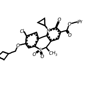 CC(C)OC(=O)c1cc2c(n(C3CC3)c1=O)-c1cc(Cl)c(OCC3CCC3)cc1S(=O)(=O)C2C